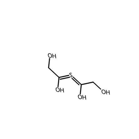 OCC(O)=S=C(O)CO